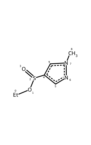 CCOS(=O)c1cnn(C)c1